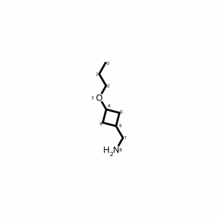 CCCOC1CC(CN)C1